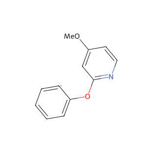 COc1ccnc(Oc2[c]cccc2)c1